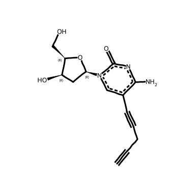 C#CCC#Cc1cn([C@H]2C[C@@H](O)[C@@H](CO)O2)c(=O)nc1N